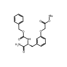 CC(C)(C)OC(=O)COc1cccc(C[C@H](NC(=O)OCc2ccccc2)C(N)=O)c1